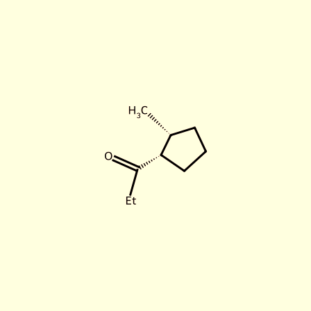 CCC(=O)[C@H]1CCC[C@H]1C